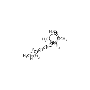 C=C1CCC(c2c(F)cc(N3CCC(N4CCN(c5ccc6c(c5)N5C[C@H](C)CCCCc7c(cnn7C)-c7cc(cc(C)n7)C(=C)/N=C/5N6)CC4)CC3)cc2F)C(=C)N1